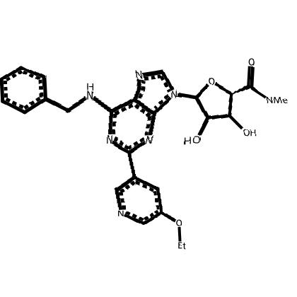 CCOc1cncc(-c2nc(NCc3ccccc3)c3ncn(C4O[C@@H](C(=O)NC)C(O)C4O)c3n2)c1